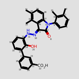 Cc1cccc(N2C(=O)C(=NNc3cccc(-c4cccc(C(=O)O)c4)c3O)c3c2ccc(C)c3C)c1C